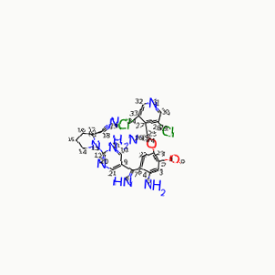 COc1cc(N)c(C(=N)c2cnc(N3CCC[C@H]3C#N)nc2)cc1O[C@H](N)c1c(Cl)cncc1Cl